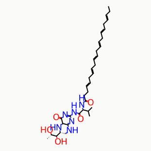 CCC=CCC=CCC=CCC=CCC=CCC=CCCC(=O)N[C@H](C(=O)NC1=NC(=O)C2N[C@@H]([C@@H](O)[C@H](C)O)CNC2=N1)C(C)C